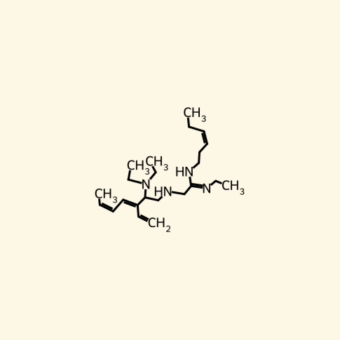 C=C/C(=C\C=C/C)C(CNC/C(=N/CC)NCC/C=C\CC)N(CC)CC